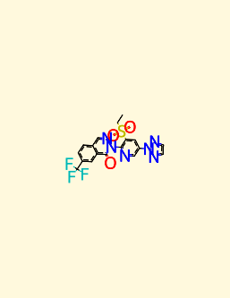 CCS(=O)(=O)c1cc(-n2nccn2)cnc1-n1ncc2ccc(C(F)(F)F)cc2c1=O